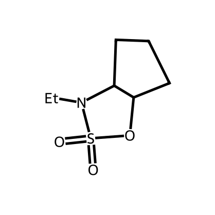 CCN1C2CCCC2OS1(=O)=O